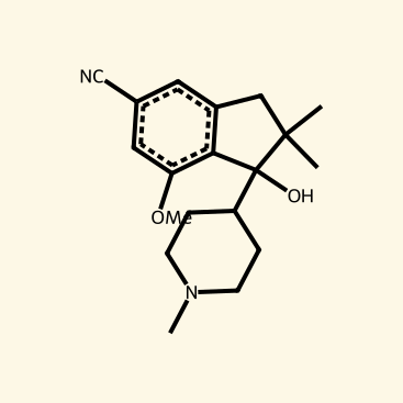 COc1cc(C#N)cc2c1C(O)(C1CCN(C)CC1)C(C)(C)C2